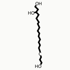 OCCCCCCCCCCCCCCCCCC(O)CCO